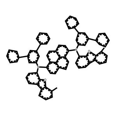 Cc1cccc2c1oc1c(N(c3cc(-c4ccccc4)cc(-c4ccccc4)c3)c3ccc4ccc5c(N(c6cc(-c7ccccc7)cc(-c7ccccc7)c6)c6cccc7c6oc6c(C)cccc67)ccc6ccc3c4c65)cccc12